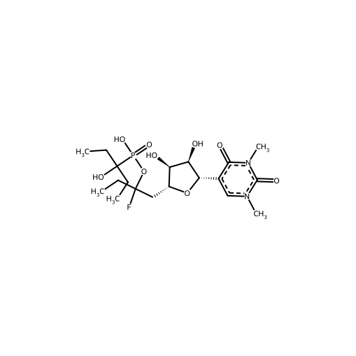 CCC(F)(C[C@H]1O[C@@H](c2cn(C)c(=O)n(C)c2=O)[C@H](O)[C@@H]1O)OP(=O)(O)C(O)(CC)CC